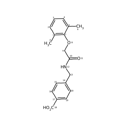 Cc1cccc(C)c1OCC(=O)NCc1ccc(C(=O)O)cc1